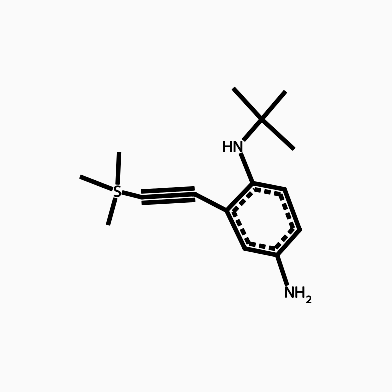 CC(C)(C)Nc1ccc(N)cc1C#CS(C)(C)C